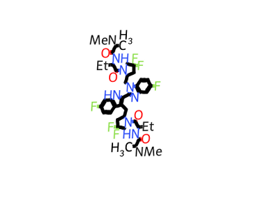 CCC(NC(=O)C(C)NC)C(=O)N1CC(F)(F)CC1Cc1c(-c2nc3cc(F)ccc3n2CC2CC(F)(F)CN2C(=O)C(CC)NC(=O)C(C)NC)[nH]c2cc(F)ccc12